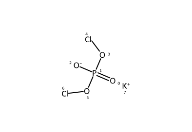 O=P([O-])(OCl)OCl.[K+]